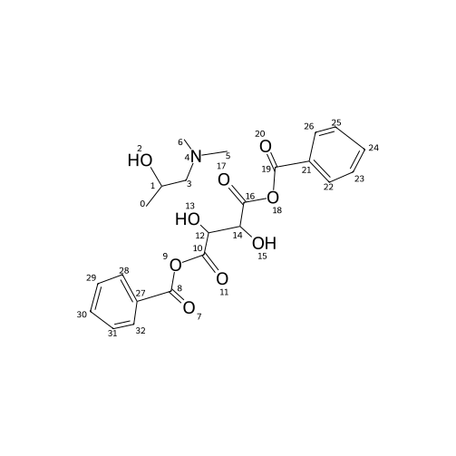 CC(O)CN(C)C.O=C(OC(=O)C(O)C(O)C(=O)OC(=O)c1ccccc1)c1ccccc1